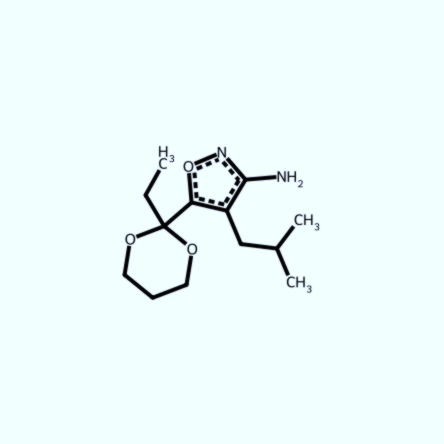 CCC1(c2onc(N)c2CC(C)C)OCCCO1